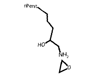 C1CO1.CCCCCCCCC(O)CN